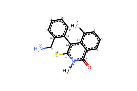 Cc1cccc2c(=O)n(C)c(S)c(-c3ccccc3CN)c12